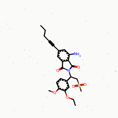 CCCC#Cc1cc(N)c2c(c1)C(=O)N(C(CS(C)(=O)=O)c1ccc(OC)c(OCC)c1)C2=O